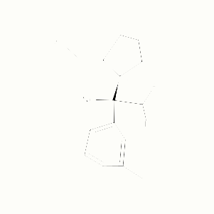 CCC(CC)C(C#N)(c1cccc(C)c1)[C@@H]1CCC[C@H]1CC(C)=O